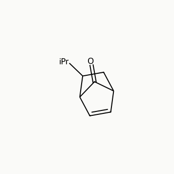 CC(C)C1CC2C=CC1C2=O